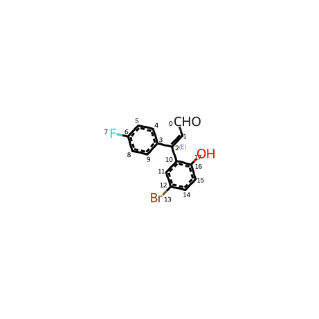 O=C/C=C(\c1ccc(F)cc1)c1cc(Br)ccc1O